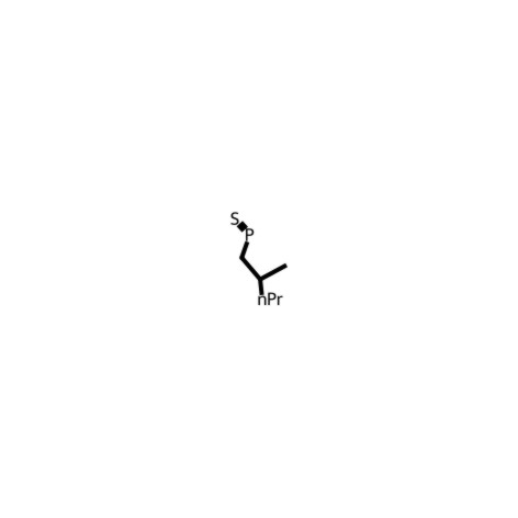 CCCC(C)CP=S